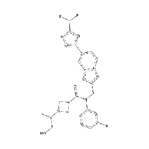 CC(CO)N1CC(C(=O)N(Cc2cn3ccc(-c4nnc(C(F)F)o4)cc3n2)c2cccc(F)c2)C1